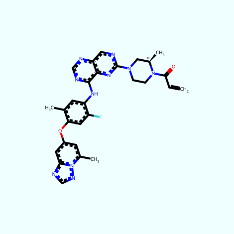 C=CC(=O)N1CCN(c2ncc3ncnc(Nc4cc(C)c(Oc5cc(C)n6ncnc6c5)cc4F)c3n2)C[C@H]1C